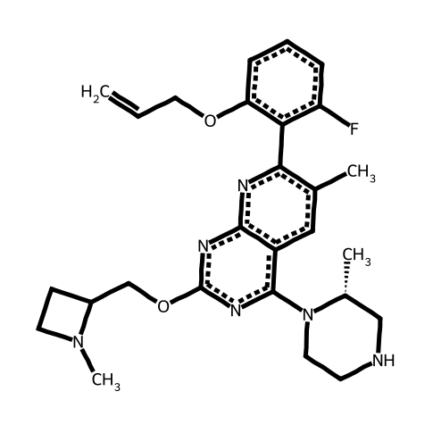 C=CCOc1cccc(F)c1-c1nc2nc(OCC3CCN3C)nc(N3CCNC[C@H]3C)c2cc1C